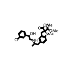 COC(=O)C1(C(=O)OC)Cc2cc(CC(C)NC[C@@H](O)c3cccc(Cl)c3)ccc2N1C(C)=O